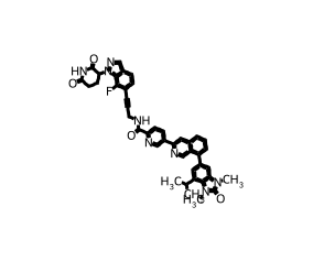 CC(C)c1cc(-c2cccc3cc(-c4ccc(C(=O)NCC#Cc5ccc6cnn(C7CCC(=O)NC7=O)c6c5F)nc4)ncc23)cc2c1n(C)c(=O)n2C